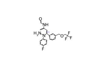 C=C(/C=C(/c1cccc(COCC(F)(F)F)c1)N(N)c1ccc(F)cc1)NC=O